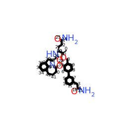 C[C@@H](OCc1ccc(-c2cccc(CC(N)=O)c2)cc1)[C@H](CCC(N)=O)NC(=O)[C@@H]1Cc2cccc3c2N1C(=O)CCC3